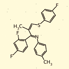 CC(=CSc1ccc(F)cc1)C(=Nc1ccc(C)cc1)c1ccc(F)cc1F